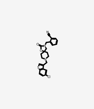 N#Cc1ccccc1CN1CC2(CCN(Cc3csc4ccc(Cl)cc34)CC2)OC1=O